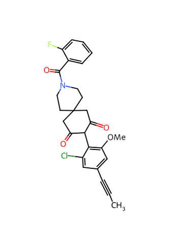 CC#Cc1cc(Cl)c(C2C(=O)CC3(CCN(C(=O)c4ccccc4F)CC3)CC2=O)c(OC)c1